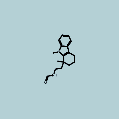 Cn1c2c(c3ccccc31)CCCC2(C)CCNC=O